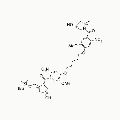 COc1cc(C(=O)N2C[C@H](O)C[C@H]2CO[Si](C)(C)C(C)(C)C)c([N+](=O)[O-])cc1OCCCCCOc1cc([N+](=O)[O-])c(C(=O)N2C[C@H](O)C[C@H]2C)cc1OC